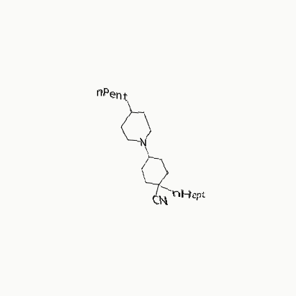 CCCCCCCC1(C#N)CCC(N2CCC(CCCCC)CC2)CC1